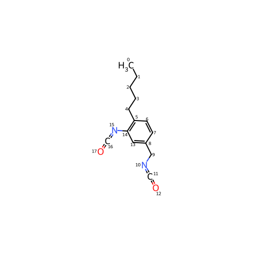 CCCCCc1ccc(CN=C=O)cc1N=C=O